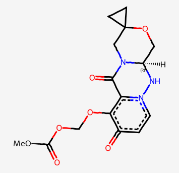 COC(=O)OCOc1c2n(ccc1=O)N[C@@H]1COC3(CC3)CN1C2=O